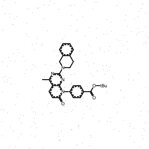 Cc1nc(N2CCc3ccccc3C2)nc2c1ccc(=O)n2-c1ccc(C(=O)OC(C)(C)C)cc1